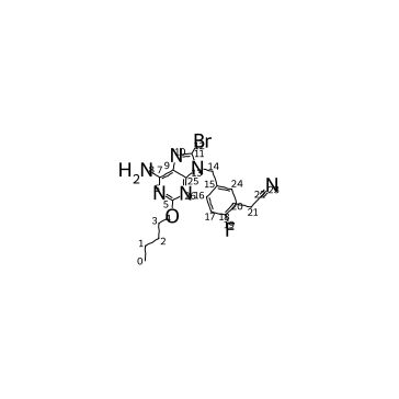 CCCCOc1nc(N)c2nc(Br)n(Cc3ccc(F)c(CC#N)c3)c2n1